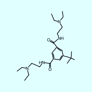 CCN(CC)CCNC(=O)c1cc(C(=O)NCCN(CC)CC)cc(C(C)(C)C)c1